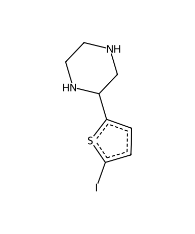 Ic1ccc(C2CNCCN2)s1